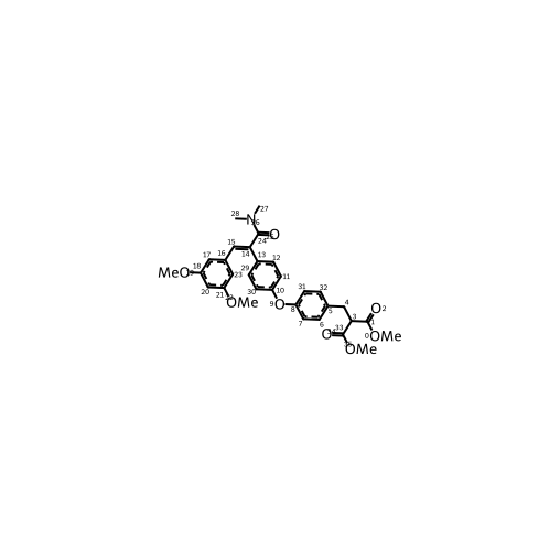 COC(=O)C(Cc1ccc(Oc2ccc(/C(=C\c3cc(OC)cc(OC)c3)C(=O)N(C)C)cc2)cc1)C(=O)OC